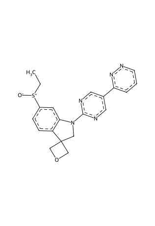 CC[S+]([O-])c1ccc2c(c1)N(c1ncc(-c3cccnn3)cn1)CC21COC1